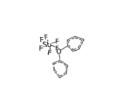 [F][Sb-]([F])([F])([F])([F])[F].c1ccc(Oc2ccccc2)cc1